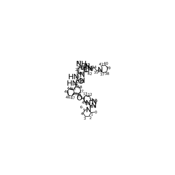 CC1CCC[C@H](C)N1c1nnc2ccc(O[C@@H]3CCC(NC(=O)N/C(=C/C(=N)C(C)(C)C)Nc4cnn(CCN5CCCCC5)c4)c4ccccc43)cn12